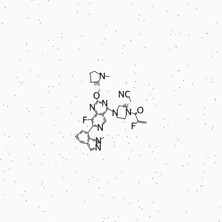 C=C(F)C(=O)N1CCN(c2nc(OC[C@@H]3CCCN3C)nc3c(F)c(-c4cccc5cnn(C)c45)ncc23)C[C@@H]1CC#N